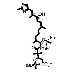 CCC[C@@H](C(=O)C(C)(C)C(CC(=O)O)O[Si](C)(C)C(C)(C)C)[C@@H](O[Si](C)(C)C(C)(C)C)C(C)CCCC(C)=CC[C@H](O)/C(C)=C/c1csc(C)n1